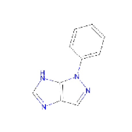 c1ccc(-n2ncc3nc[nH]c32)cc1